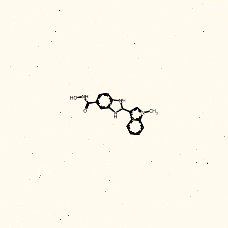 Cn1cc(C2Nc3ccc(C(=O)NO)cc3N2)c2ccccc21